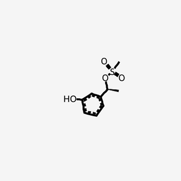 C[C@H](OS(C)(=O)=O)c1cccc(O)c1